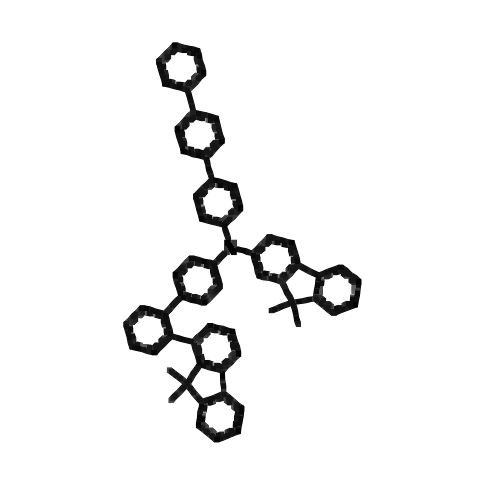 CC1(C)c2ccccc2-c2ccc(N(c3ccc(-c4ccc(-c5ccccc5)cc4)cc3)c3ccc(-c4ccccc4-c4cccc5c4C(C)(C)c4ccccc4-5)cc3)cc21